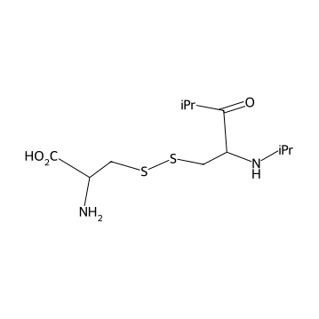 CC(C)NC(CSSCC(N)C(=O)O)C(=O)C(C)C